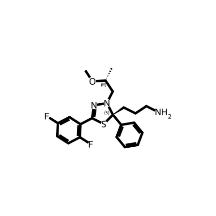 CO[C@H](C)CN1N=C(c2cc(F)ccc2F)S[C@@]1(CCCN)c1ccccc1